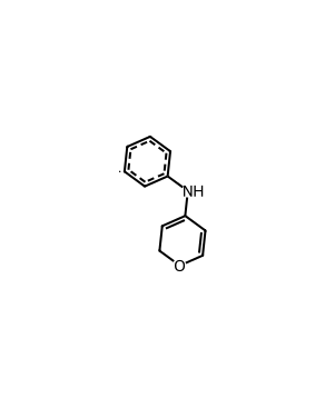 [c]1cccc(NC2=CCOC=C2)c1